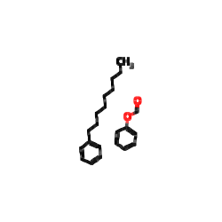 CCCCCCCCCc1ccccc1.O=COc1ccccc1